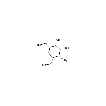 CO[C@@H]1O[C@H](CO)[C@H](O)[C@H](O)[C@@H]1N